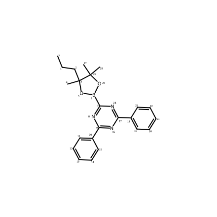 CCCC1(C)OB(c2nc(-c3ccccc3)nc(-c3ccccc3)n2)OC1(C)C